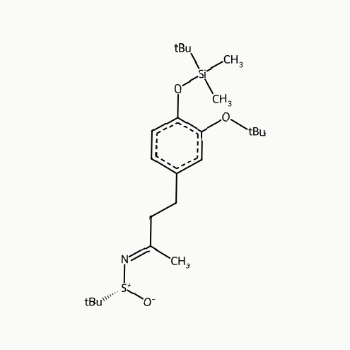 C/C(CCc1ccc(O[Si](C)(C)C(C)(C)C)c(OC(C)(C)C)c1)=N\[S@+]([O-])C(C)(C)C